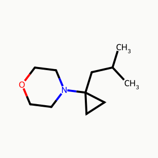 CC(C)CC1(N2CCOCC2)CC1